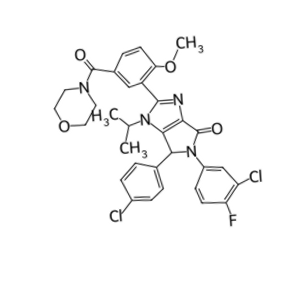 COc1ccc(C(=O)N2CCOCC2)cc1-c1nc2c(n1C(C)C)C(c1ccc(Cl)cc1)N(c1ccc(F)c(Cl)c1)C2=O